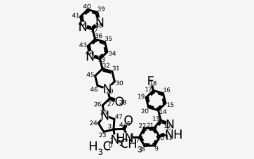 CN(C)C1(C(=O)Nc2ccc3[nH]nc(-c4ccc(F)cc4)c3c2)CCN(CC(=O)N2CC=C(c3ccc(-c4ncccn4)cn3)CC2)C1